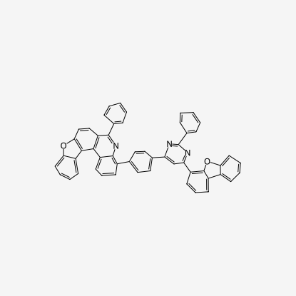 c1ccc(-c2nc(-c3ccc(-c4cccc5c4nc(-c4ccccc4)c4ccc6oc7ccccc7c6c45)cc3)cc(-c3cccc4c3oc3ccccc34)n2)cc1